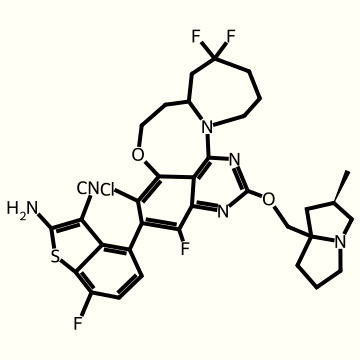 C[C@H]1CN2CCCC2(COc2nc3c4c(c(Cl)c(-c5ccc(F)c6sc(N)c(C#N)c56)c(F)c4n2)OCCC2CC(F)(F)CCCN32)C1